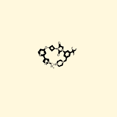 Cn1cc(-c2cc(O[C@H]3C[C@H](N4C(=O)CN(c5cc(CN6CCNCC6)cc(C(F)(F)F)c5)C4=O)C3)ccn2)cn1